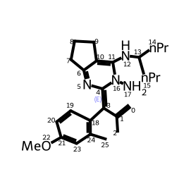 C=C(C)/C(=C1/N=C2CCCC2=C(NC(CCC)CCC)N1N)c1ccc(OC)cc1C